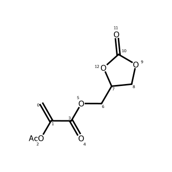 C=C(OC(C)=O)C(=O)OCC1COC(=O)O1